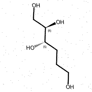 OCCC[C@H](O)[C@H](O)CO